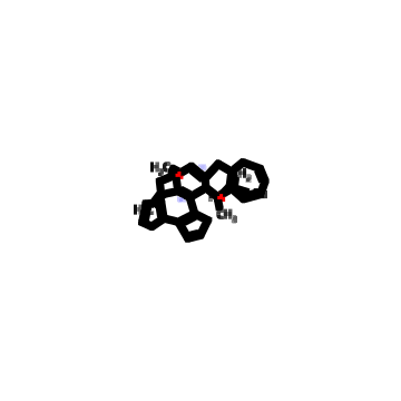 C=C/C=C(/CC1=C(S)C=CC=CC1)C(/C(C1=C(C2=CC=CC2)C=CC1)=C1\CCC1=C)C(C)C(=C)CCCC